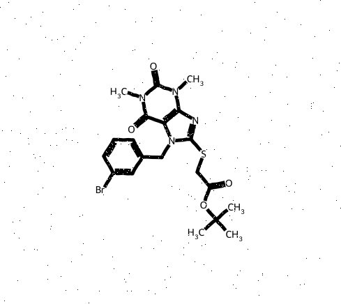 Cn1c(=O)c2c(nc(SCC(=O)OC(C)(C)C)n2Cc2cccc(Br)c2)n(C)c1=O